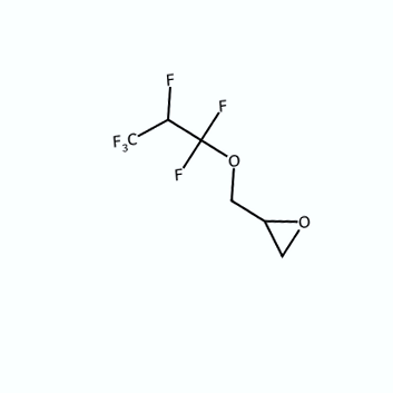 FC(C(F)(F)F)C(F)(F)OCC1CO1